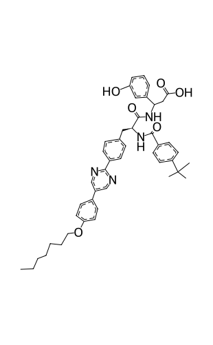 CCCCCCCOc1ccc(-c2cnc(-c3ccc(C[C@H](NC(=O)c4ccc(C(C)(C)C)cc4)C(=O)NC(CC(=O)O)c4cccc(O)c4)cc3)nc2)cc1